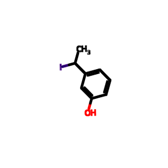 CC(I)c1cccc(O)c1